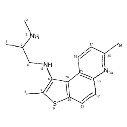 CNC(C)CNc1c(C)sc2ccc3nc(C)ccc3c12